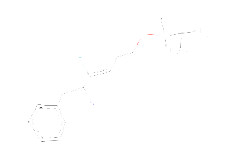 CCCC(C)(C)[Si](C)(C)OCC/C=C(\F)C(N)Cc1ccccc1